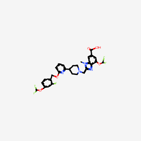 Cn1c(CN2CCC(c3cccc(OCc4ccc(OC(F)F)cc4F)n3)CC2)nc2c(OC(F)F)cc(C(=O)O)cc21